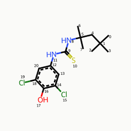 CC(C)(C)CC(C)(C)NC(=S)Nc1cc(Cl)c(O)c(Cl)c1